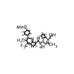 COc1ccc(-c2nc3c(C(=O)N(CCN(C)C(CO)c4cccs4)C(C)C)cnn3c(C(F)(F)F)c2C)cc1